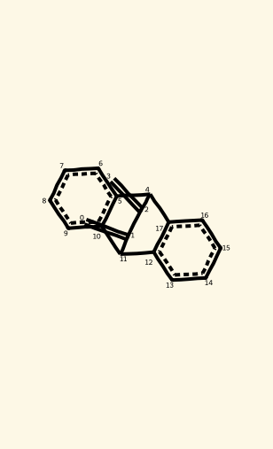 C=C1C(=C)C2c3ccccc3C1c1ccccc12